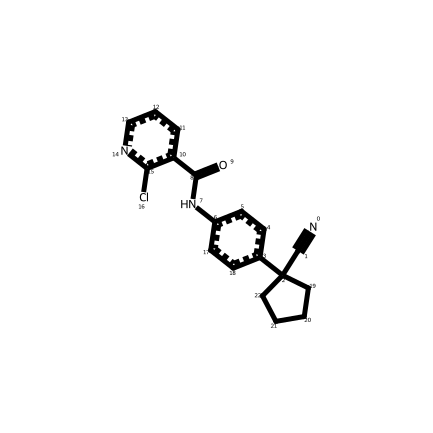 N#CC1(c2ccc(NC(=O)c3cccnc3Cl)cc2)CCCC1